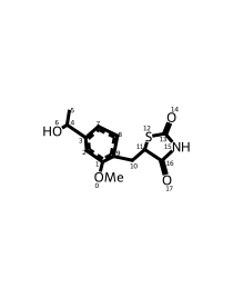 COc1cc(C(C)O)ccc1CC1SC(=O)NC1=O